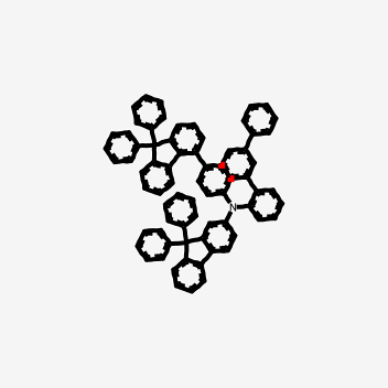 c1ccc(-c2cccc(-c3ccccc3N(c3ccc(-c4cccc5c4-c4ccccc4C5(c4ccccc4)c4ccccc4)cc3)c3ccc4c(c3)C(c3ccccc3)(c3ccccc3)c3ccccc3-4)c2)cc1